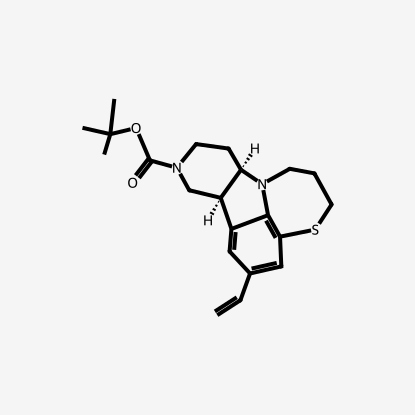 C=Cc1cc2c3c(c1)[C@H]1CN(C(=O)OC(C)(C)C)CC[C@H]1N3CCCS2